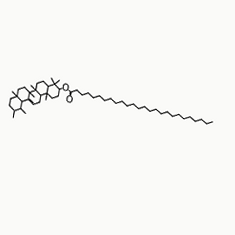 CCCCCCCCCCCCCCCCCCCCCCCCCC(=O)OC1CCC2(C)C(CCC3(C)C2CC=C2C4C(C)C(C)CCC4(C)CCC23C)C1(C)C